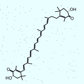 CC1=C(/C=C/C(C)=C/C=C/C(C)=C/C=C/C=C(C)/C=C/C=C(\C)CCC2=C(C)C(=O)[C@@H](O)CC2(C)C)C(C)(C)C[C@H](O)C1=O